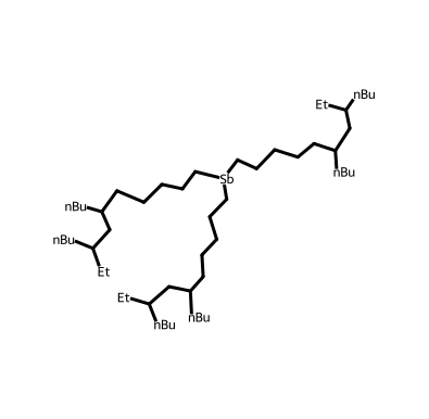 CCCCC(CC)CC(CCCC)CCCC[CH2][Sb]([CH2]CCCCC(CCCC)CC(CC)CCCC)[CH2]CCCCC(CCCC)CC(CC)CCCC